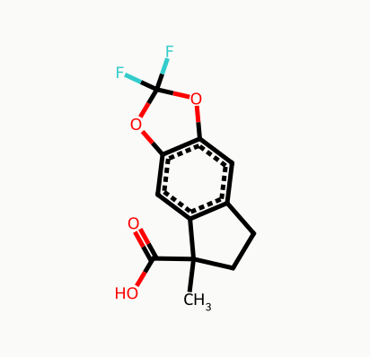 CC1(C(=O)O)CCc2cc3c(cc21)OC(F)(F)O3